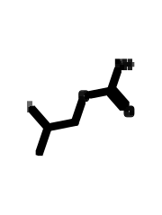 CC(I)COC([NH])=O